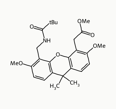 COC(=O)Cc1c(OC)ccc2c1Oc1c(ccc(OC)c1CNC(=O)C(C)(C)C)C2(C)C